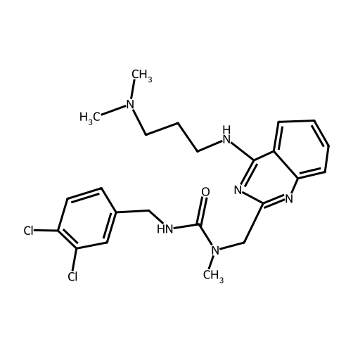 CN(C)CCCNc1nc(CN(C)C(=O)NCc2ccc(Cl)c(Cl)c2)nc2ccccc12